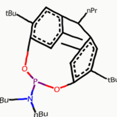 CCCCN(CCCC)P1Oc2cc(C)c(cc2C(C)(C)C)C(CCC)c2cc(C(C)(C)C)c(cc2C)O1